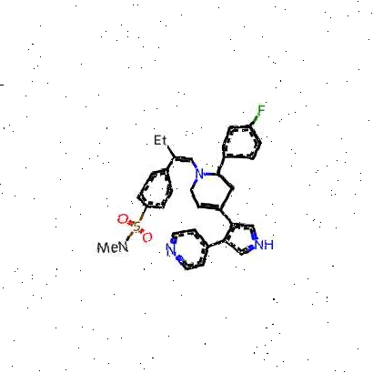 CCC(=CN1CC=C(c2c[nH]cc2-c2ccncc2)CC1c1ccc(F)cc1)c1ccc(S(=O)(=O)NC)cc1